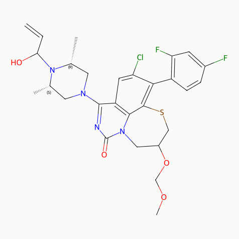 C=CC(O)N1[C@H](C)CN(c2nc(=O)n3c4c(c(-c5ccc(F)cc5F)c(Cl)cc24)SCC(OCOC)C3)C[C@@H]1C